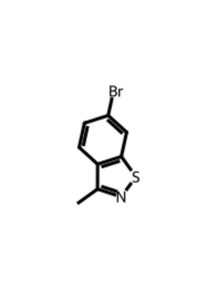 Cc1nsc2cc(Br)ccc12